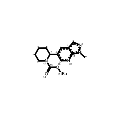 Cn1ncc2cc(C3CCCCN3C(=O)OC(C)(C)C)cnc21